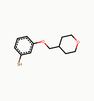 Sc1cccc(OCC2CCOCC2)c1